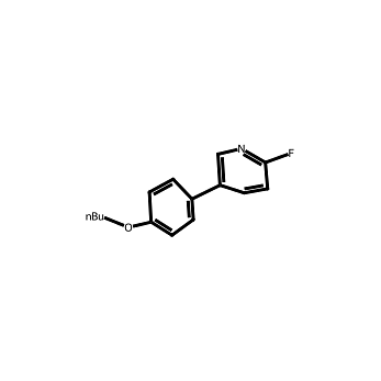 CCCCOc1ccc(-c2ccc(F)nc2)cc1